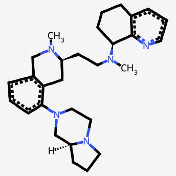 CN1Cc2cccc(N3CCN4CCC[C@H]4C3)c2C[C@@H]1CCN(C)[C@H]1CCCc2cccnc21